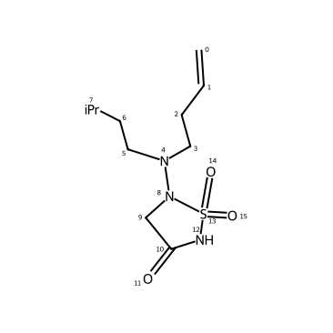 C=CCCN(CCC(C)C)N1CC(=O)NS1(=O)=O